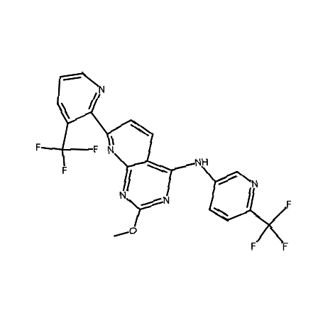 COc1nc(Nc2ccc(C(F)(F)F)nc2)c2ccc(-c3ncccc3C(F)(F)F)nc2n1